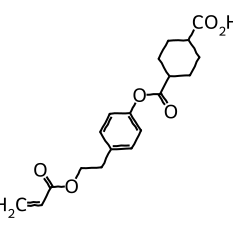 C=CC(=O)OCCc1ccc(OC(=O)C2CCC(C(=O)O)CC2)cc1